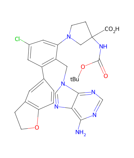 CC(C)(C)OC(=O)NC1(C(=O)O)CCN(c2cc(Cl)cc(-c3ccc4c(c3)CCO4)c2Cn2cnc3c(N)ncnc32)C1